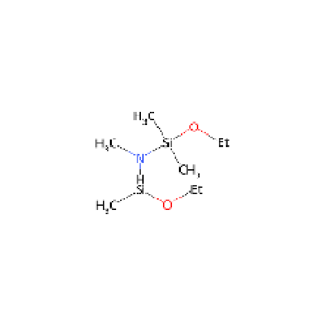 CCO[SiH](C)N(C)[Si](C)(C)OCC